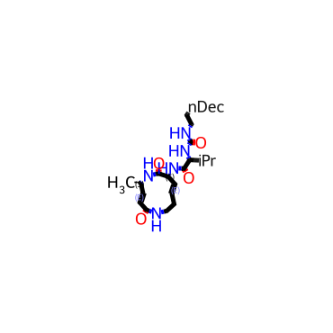 CCCCCCCCCCCCNC(=O)NC(C(=O)N[C@H]1/C=C/CCNC(=O)/C=C/[C@H](C)NC1=O)C(C)C